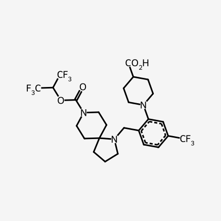 O=C(O)C1CCN(c2cc(C(F)(F)F)ccc2CN2CCCC23CCN(C(=O)OC(C(F)(F)F)C(F)(F)F)CC3)CC1